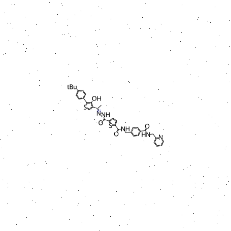 C/C(=N\NC(=O)c1ccc(C(=O)NCc2ccc(C(=O)NCc3ccccn3)cc2)s1)c1csc(-c2ccc(C(C)(C)C)cc2)c1O